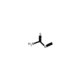 C=NC(N)=S